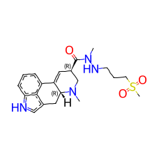 CN(NCCCS(C)(=O)=O)C(=O)[C@@H]1C=C2c3cccc4[nH]cc(c34)C[C@H]2N(C)C1